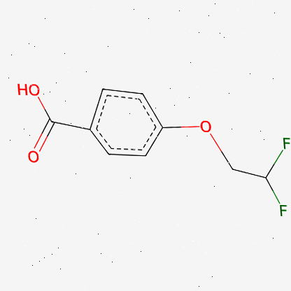 O=C(O)c1ccc(OCC(F)F)cc1